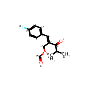 CC(C)C(=O)/C(=C/c1ccc(F)cc1)COC=O